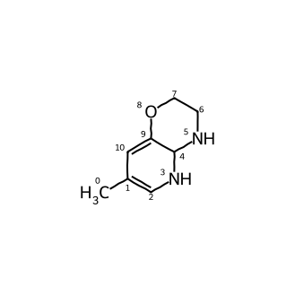 CC1=CNC2NCCOC2=C1